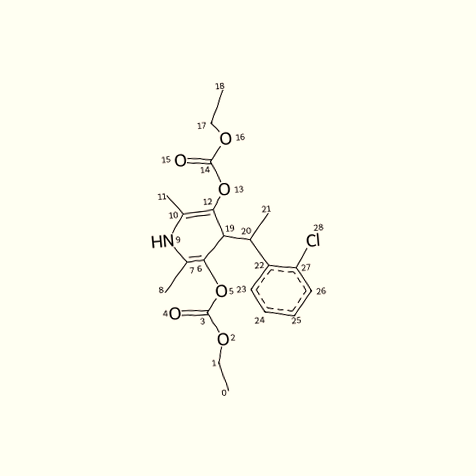 CCOC(=O)OC1=C(C)NC(C)=C(OC(=O)OCC)C1C(C)c1ccccc1Cl